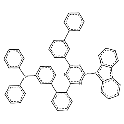 c1ccc(-c2cccc(-c3nc(-c4ccccc4-c4cccc(N(c5ccccc5)c5ccccc5)c4)nc(-n4c5ccccc5c5ccccc54)n3)c2)cc1